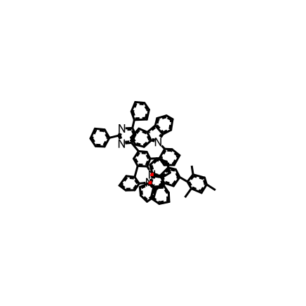 Cc1cc(C)c(-c2ccc3c(c2)c2ccccc2n3-c2c(-c3ccccc3-n3c4ccccc4c4ccccc43)cc(-c3cc(-c4ccccc4)nc(-c4ccccc4)n3)cc2-c2ccccc2-n2c3ccccc3c3ccccc32)c(C)c1